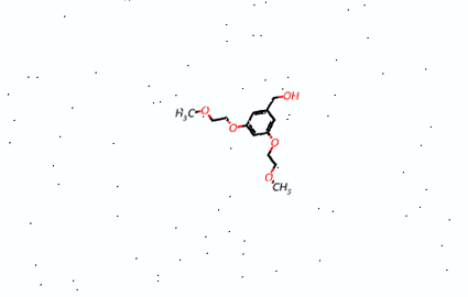 COCCOc1cc(CO)cc(OCCOC)c1